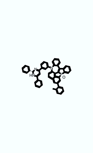 Cc1ccccc1-c1cccc(P2(=O)C3=C(c4ccccc4N(c4cccc(C5=N[C@@H](c6ccccc6)NC(c6ccccc6)=C5)c4)c4ccccc43)c3ccccc32)c1